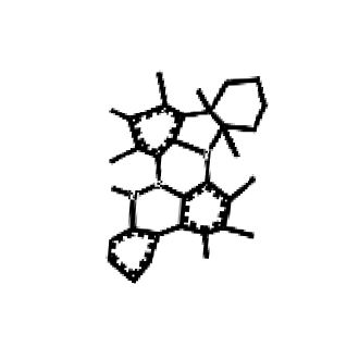 Cc1c(C)c2c3c(c1C)N1c4c(c(C)c(C)c(C)c4C4(C)CCCCC14C)B3N(C)c1ccccc1-2